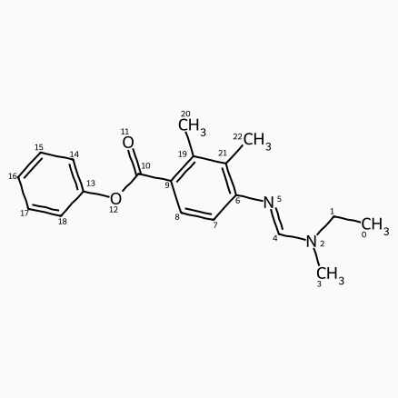 CCN(C)/C=N/c1ccc(C(=O)Oc2ccccc2)c(C)c1C